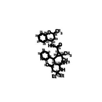 CCC1(CC)CC(=O)N(C(c2cccnc2)C2C(C(=O)N[C@H]3CC(C(F)(F)F)Oc4ccccc43)C2(C)C)C(=N)N1